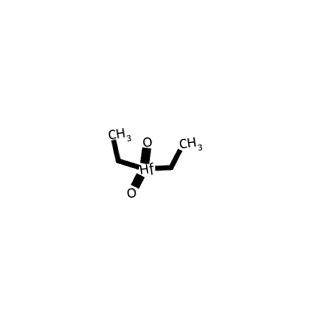 C[CH2][Hf](=[O])(=[O])[CH2]C